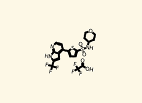 O=C(O)C(F)(F)F.O=S(=O)(NC1CCOCC1)c1ccc(-c2ccnc3[nH]c(C(F)(F)F)cc23)s1